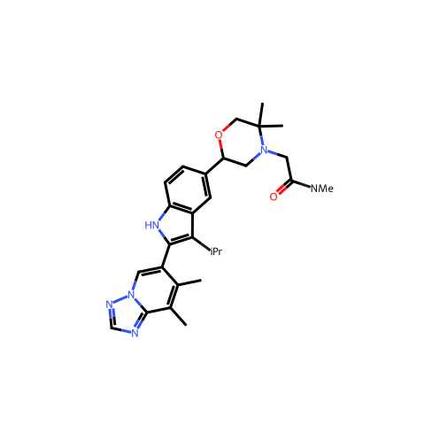 CNC(=O)CN1CC(c2ccc3[nH]c(-c4cn5ncnc5c(C)c4C)c(C(C)C)c3c2)OCC1(C)C